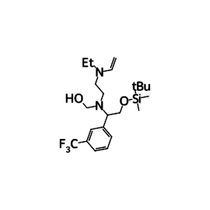 C=CN(CC)CCN(CO)C(CO[Si](C)(C)C(C)(C)C)c1cccc(C(F)(F)F)c1